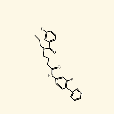 CCCN(CCCC(=O)Nc1ccc(-c2cccnc2)c(F)c1)C(=O)c1cccc(F)c1